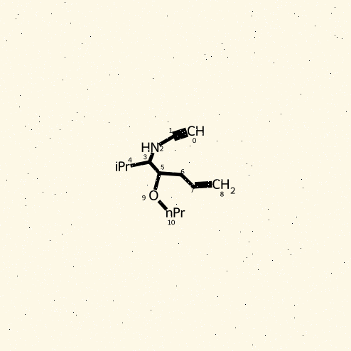 C#CNC(C(C)C)C(CC=C)OCCC